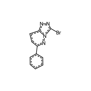 Brc1nnc2ccc(-c3ccccc3)nn12